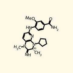 COc1cc(C(N)=O)ccc1Nc1ccc2c(n1)N(C1CCCC1)[C@H](C)C(=N)N2C